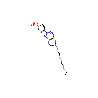 CCCCCCCCCCC1CCc2nc(-c3ccc(O)cc3)ncc2C1